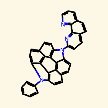 c1ccc(-n2c3ccc4ccc5c6c4c3c3c4c(ccc32)ccc(c46)n5-c2ccc3ccc4cccnc4c3n2)cc1